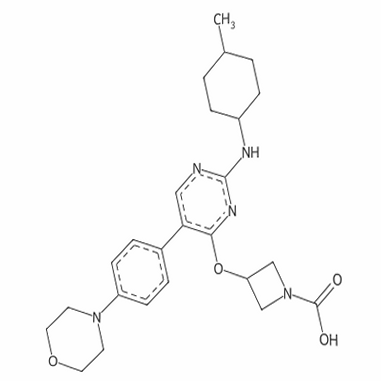 CC1CCC(Nc2ncc(-c3ccc(N4CCOCC4)cc3)c(OC3CN(C(=O)O)C3)n2)CC1